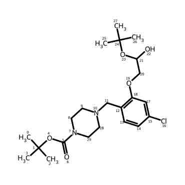 CC(C)(C)OC(=O)N1CCN(Cc2ccc(Cl)cc2OCC(O)OC(C)(C)C)CC1